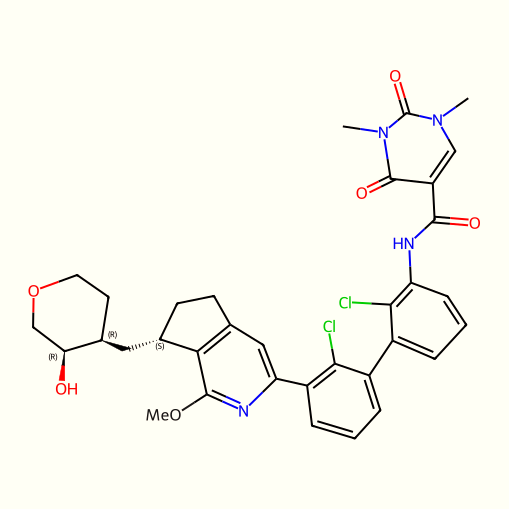 COc1nc(-c2cccc(-c3cccc(NC(=O)c4cn(C)c(=O)n(C)c4=O)c3Cl)c2Cl)cc2c1[C@H](C[C@@H]1CCOC[C@@H]1O)CC2